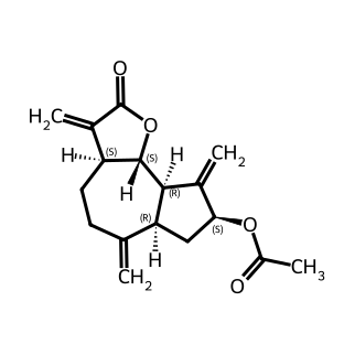 C=C1[C@@H]2[C@H]3OC(=O)C(=C)[C@@H]3CCC(=C)[C@@H]2C[C@@H]1OC(C)=O